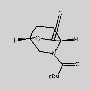 CC(C)(C)C(=O)N1C[C@@H]2CC[C@H]1C(=O)O2